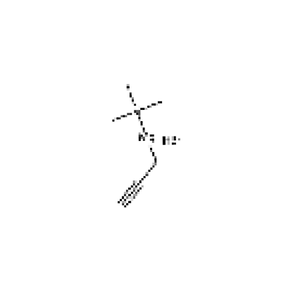 Br.C#C[CH2][Mg][Si](C)(C)C